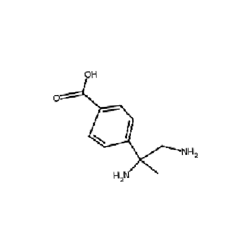 CC(N)(CN)c1ccc(C(=O)O)cc1